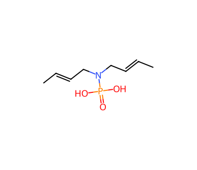 CC=CCN(CC=CC)P(=O)(O)O